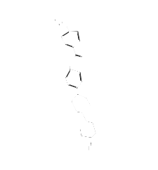 CCC[C@H]1CC[C@H]([C@H]2CC[C@H](c3ccc(OC(=O)c4ccc(C#N)cc4)cc3)CC2)CC1